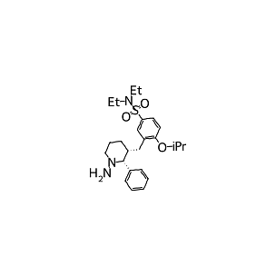 CCN(CC)S(=O)(=O)c1ccc(OC(C)C)c(C[C@H]2CCCN(N)[C@H]2c2ccccc2)c1